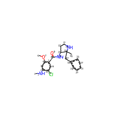 CNc1cc(OC)c(C(=O)NC2CCNC2(C)Cc2ccccc2)cc1Cl